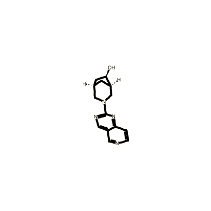 O[C@@H]1C[C@H]2C[C@@H]1CN(c1ncc3cnccc3n1)C2